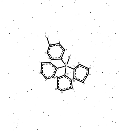 Clc1ccc(P(Br)(c2ccccc2)(c2ccccc2)c2ccccc2)cc1